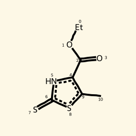 CCOC(=O)c1[nH]c(=S)sc1C